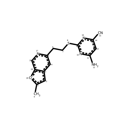 Cc1cc2cc(CCSc3nc(N)cc(C#N)n3)ncc2o1